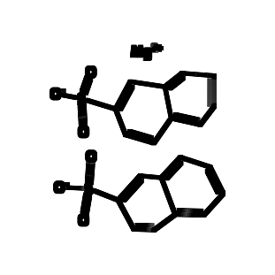 O=S(=O)([O-])c1ccc2ccccc2c1.O=S(=O)([O-])c1ccc2ccccc2c1.[Mg+2]